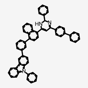 C1=C(c2ccc(-c3cccc(-c4ccc5c(c4)c4ccccc4n5-c4ccccc4)c3)c3ccccc23)NC(c2ccccc2)N=C1c1ccc(-c2ccccc2)cc1